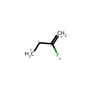 [CH2]CC(=C)F